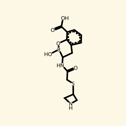 O=C(CSC1CNC1)NC1Cc2cccc(C(=O)O)c2OB1O